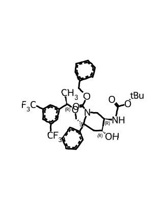 C[C@@H](OC[C@@]1(c2ccccc2)C[C@@H](O)[C@H](NC(=O)OC(C)(C)C)CN1C(=O)OCc1ccccc1)c1cc(C(F)(F)F)cc(C(F)(F)F)c1